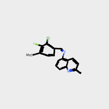 COc1ccc(/C=N\c2cccc3nc(C)ccc23)c(Cl)c1F